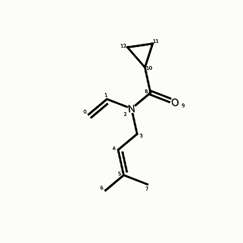 C=CN(CC=C(C)C)C(=O)C1CC1